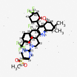 CC1(C)Cc2nc(C3CCN(c4ncc(S(C)(=O)=O)cn4)CC3)c([C@@H](F)c3ccc(C(F)(F)F)cc3)c(C3CCC(F)(F)CC3)c2[C@@H](O)C1